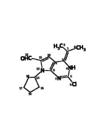 CC(C)=C1NC(Cl)=Nc2c1cc(C=O)n2C1CCCC1